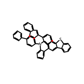 c1ccc(-c2ccc(N(c3ccccc3-c3ccc4ccccc4c3)c3ccccc3-c3ccc4sc5ccccc5c4c3)cc2)cc1